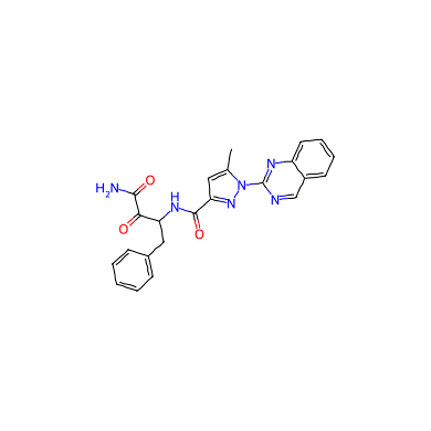 Cc1cc(C(=O)NC(Cc2ccccc2)C(=O)C(N)=O)nn1-c1ncc2ccccc2n1